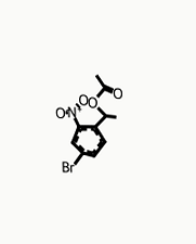 CC(=O)OC(C)c1ccc(Br)cc1[N+](=O)[O-]